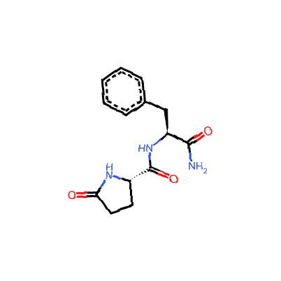 NC(=O)[C@H](Cc1ccccc1)NC(=O)[C@@H]1CCC(=O)N1